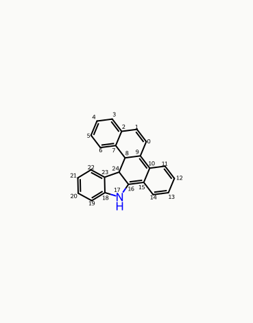 C1=Cc2ccccc2C2C1=c1ccccc1=C1Nc3ccccc3C12